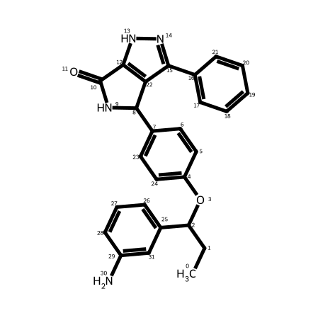 CCC(Oc1ccc(C2NC(=O)c3[nH]nc(-c4ccccc4)c32)cc1)c1cccc(N)c1